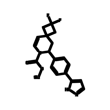 CC(C)(C)OC(=O)N1C=CC2(CC1c1ccc(-c3ccn[nH]3)cc1)CC(F)(F)C2